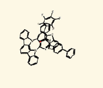 Fc1c(F)c(F)c(-c2cc(-n3c4ccccc4c4ccc5c6ccccc6n(-c6nc(-c7ccccc7)nc(-c7ccc(-c8ccccc8)cc7)n6)c5c43)cc3c2oc2ccccc23)c(F)c1F